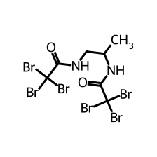 CC(CNC(=O)C(Br)(Br)Br)NC(=O)C(Br)(Br)Br